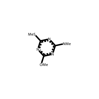 CNc1nc(OC)nc(SC)n1